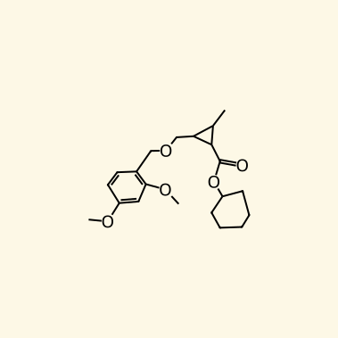 COc1ccc(COCC2C(C)C2C(=O)OC2CCCCC2)c(OC)c1